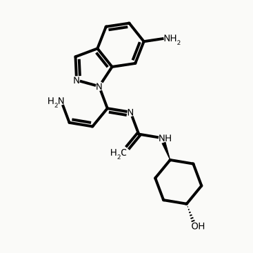 C=C(/N=C(\C=C/N)n1ncc2ccc(N)cc21)N[C@H]1CC[C@H](O)CC1